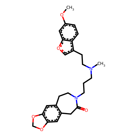 COc1ccc2c(CCN(C)CCCN3CCc4cc5c(cc4CC3=O)OCO5)coc2c1